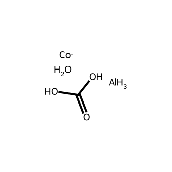 O.O=C(O)O.[AlH3].[Co]